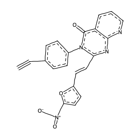 C#Cc1ccc(-n2c(/C=C/c3ccc([N+](=O)[O-])o3)nc3ncccc3c2=O)cc1